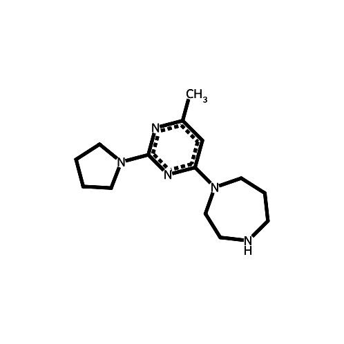 Cc1cc(N2CCCNCC2)nc(N2CCCC2)n1